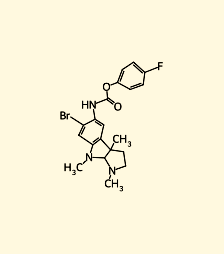 CN1CCC2(C)c3cc(NC(=O)Oc4ccc(F)cc4)c(Br)cc3N(C)C12